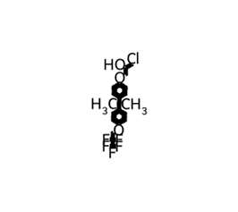 CC(C)(c1ccc(OCC(O)CCl)cc1)c1ccc(OCC(F)(F)C(F)(F)F)cc1